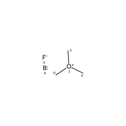 C[O+](C)C.[B].[F-]